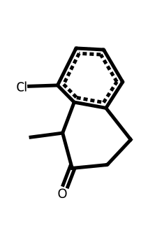 CC1C(=O)CCc2cccc(Cl)c21